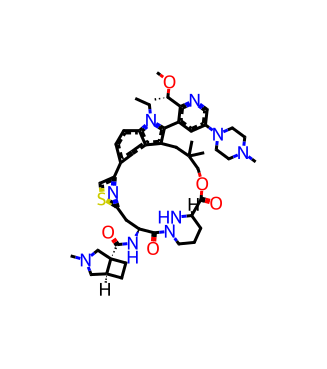 CCn1c(-c2cc(N3CCN(C)CC3)cnc2[C@H](C)OC)c2c3cc(ccc31)-c1csc(n1)C[C@H](NC(=O)[C@]13CC[C@H]1CN(C)C3)C(=O)N1CCC[C@H](N1)C(=O)OCC(C)(C)C2